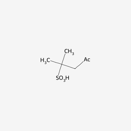 CC(=O)CC(C)(C)S(=O)(=O)O